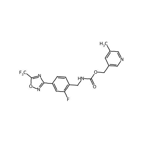 Cc1cncc(COC(=O)NCc2ccc(-c3noc(C(F)(F)F)n3)cc2F)c1